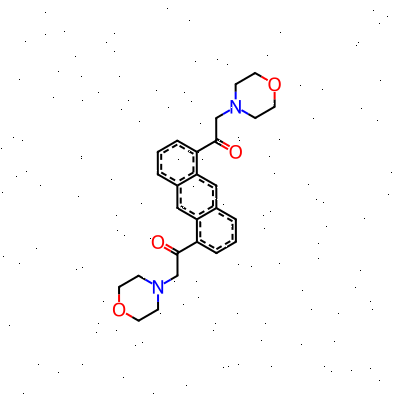 O=C(CN1CCOCC1)c1cccc2cc3c(C(=O)CN4CCOCC4)cccc3cc12